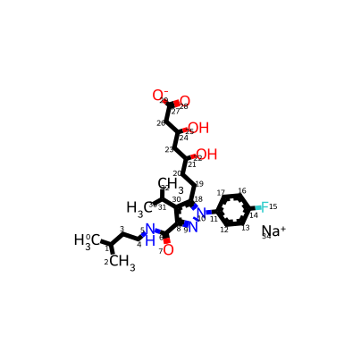 CC(C)CCNC(=O)c1nn(-c2ccc(F)cc2)c(CCC(O)CC(O)CC(=O)[O-])c1C(C)C.[Na+]